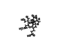 CNCC(=O)N(NC(=O)[C@@]1(CCCCC(=O)O)SC[C@@H]2NC(=O)N[C@@H]21)[C@H]([C]=O)CO